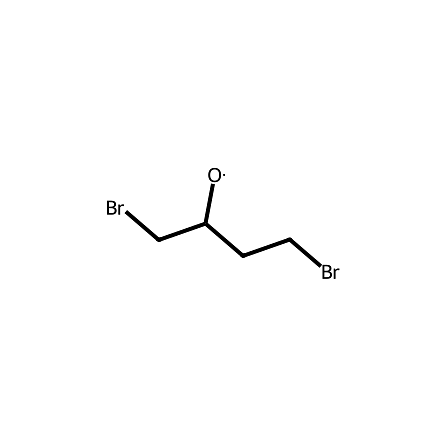 [O]C(CBr)CCBr